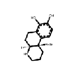 Br.Oc1ccc2c(c1O)CC[C@@H]1NCCC[C@@H]21